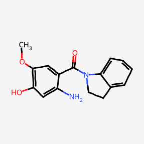 COc1cc(C(=O)N2CCc3ccccc32)c(N)cc1O